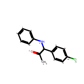 CC(=O)C(Nc1ccccc1)c1ccc(Cl)cc1